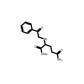 COC(=O)C(CCC(N)=O)NCC(=O)c1ccccc1